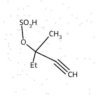 C#CC(C)(CC)OS(=O)(=O)O